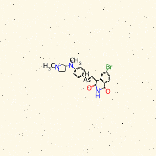 CN1CCC(N(C)c2ccc([AsH]/C=C3\C(=O)NC(=O)c4ccc(Br)cc43)cc2)C1